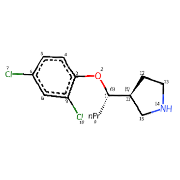 CCC[C@H](Oc1ccc(Cl)cc1Cl)[C@H]1CCNC1